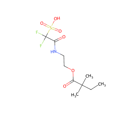 CCC(C)(C)C(=O)OCCNC(=O)C(F)(F)S(=O)(=O)O